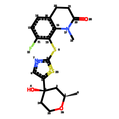 C[C@H]1C[C@@](O)(c2cnc(Sc3c(F)ccc4c3N(C)C(=O)CC4)s2)CCO1